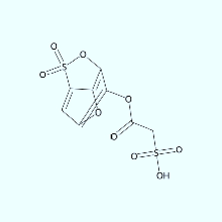 O=C(CS(=O)(=O)O)Oc1c2c3oc1cc3S(=O)(=O)O2